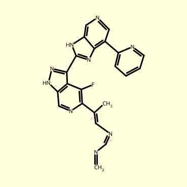 C=N/C=N\C=C(/C)c1ncc2[nH]nc(-c3nc4c(-c5ccccn5)cncc4[nH]3)c2c1F